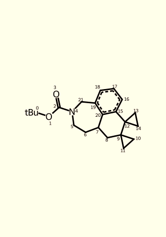 CC(C)(C)OC(=O)N1CCC2CC3(CC3)C3(CC3)c3cccc(c32)C1